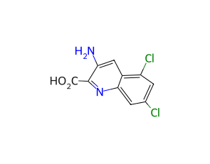 Nc1cc2c(Cl)cc(Cl)cc2nc1C(=O)O